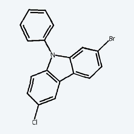 Clc1ccc2c(c1)c1ccc(Br)cc1n2-c1ccccc1